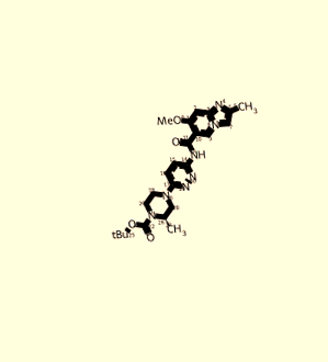 COc1cc2nc(C)cn2cc1C(=O)Nc1ccc(N2CCN(C(=O)OC(C)(C)C)[C@@H](C)C2)nn1